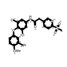 COc1ccc(Oc2c(Cl)cc(NC(=O)Cc3ccc(S(C)(=O)=O)nc3)cc2Cl)cc1C(C)C